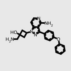 NCC1(O)CC(n2nc(-c3ccc(Oc4ccccc4)cc3)c3c(N)nccc32)C1